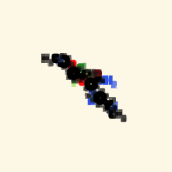 C[C@@H](OC1C=C(n2cnc3cc(-c4cnn(C)c4)ccc32)C=C(C(N)=O)C1=S)c1c(F)ccc(OC2CCN(C)CC2)c1Cl